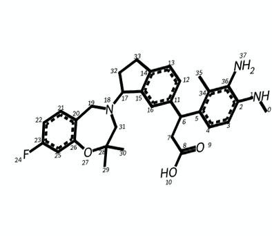 CNc1ccc(C(CC(=O)O)c2ccc3c(c2)C(N2Cc4ccc(F)cc4OC(C)(C)C2)CC3)c(C)c1N